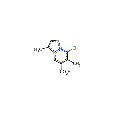 CCOC(=O)c1cc2c(C)ccn2c(Cl)c1C